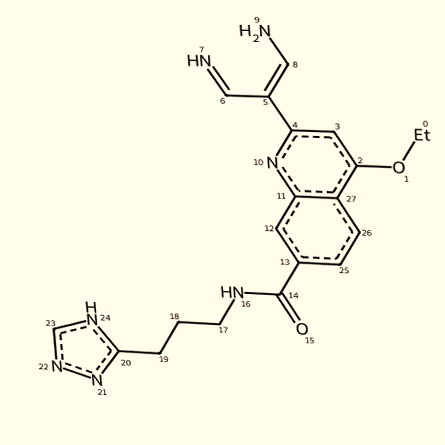 CCOc1cc(/C(C=N)=C/N)nc2cc(C(=O)NCCCc3nnc[nH]3)ccc12